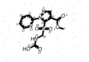 COC(=O)c1cnn(-c2ccccn2)c1S(=O)(=O)CNC(=O)O